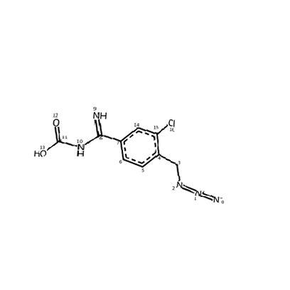 [N-]=[N+]=NCc1ccc(C(=N)NC(=O)O)cc1Cl